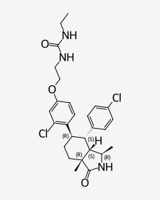 CCNC(=O)NCCOc1ccc([C@@H]2CC[C@@]3(C)C(=O)N[C@H](C)[C@H]3[C@H]2c2ccc(Cl)cc2)c(Cl)c1